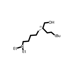 CCN(CC)CCCCC[C@H](CO)CCC(C)(C)C